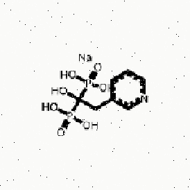 O=P(O)(O)C(O)(Cc1cccnc1)P(=O)(O)O.[Na]